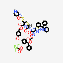 COc1ccc(COC(=O)C2=C(CSc3nc4c[n+](C)ccc4o3)CS[C@H]3C(NC(=O)/C(=N\OCC(=O)OC(c4ccccc4)c4ccccc4)c4csc(NC(c5ccccc5)(c5ccccc5)c5ccccc5)n4)C(=O)N23)cc1.O=C([O-])C(F)(F)F